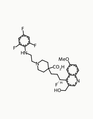 COc1ccc2ncc(CO)c([C@H](F)CCC3(C(=O)O)CCN(CCNc4c(F)cc(F)cc4F)CC3)c2c1